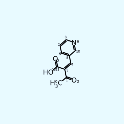 CC(=O)C(=Cc1cccnc1)C(=O)O